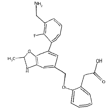 CC1Nc2cc(COc3ccccc3CC(=O)O)cc(-c3cccc(CN)c3F)c2O1